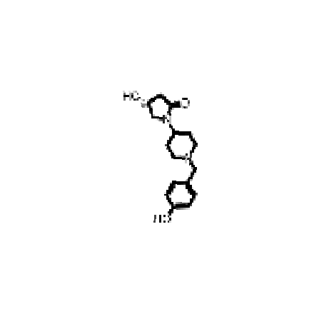 O=C1C[C@@H](O)CN1C1CCN(Cc2ccc(O)cc2)CC1